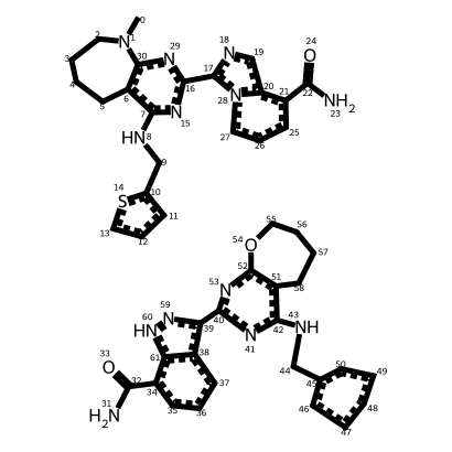 CN1CCCCc2c(NCc3cccs3)nc(-c3ncc4c(C(N)=O)cccn34)nc21.NC(=O)c1cccc2c(-c3nc(NCc4ccccc4)c4c(n3)OCCCC4)n[nH]c12